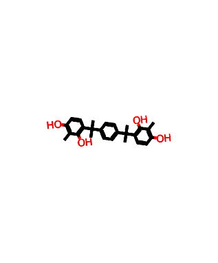 Cc1c(O)ccc(C(C)(C)c2ccc(C(C)(C)c3ccc(O)c(C)c3O)cc2)c1O